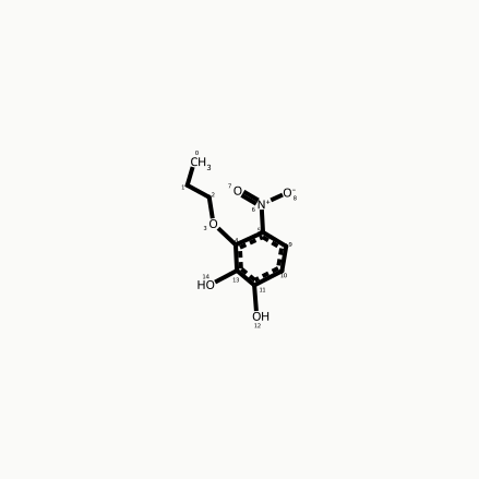 CCCOc1c([N+](=O)[O-])ccc(O)c1O